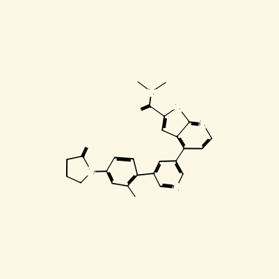 Cc1cc(N2CCCC2=O)ccc1-c1cncc(-c2ccnc3[nH]c(C(=O)N(C)C)cc23)c1